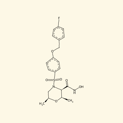 C[C@H]1CN(S(=O)(=O)c2ccc(OCc3ccc(F)cc3)cc2)[C@@H](C(=O)NO)[C@@H](C)O1